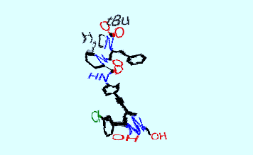 CN(C(=O)OC(C)(C)C)[C@@H](Cc1ccccc1)C(=O)N1CCCC[C@@H]1C(=O)Nc1ccc(C#Cc2cn(CCO)nc2-c2cc(Cl)ccc2O)cc1